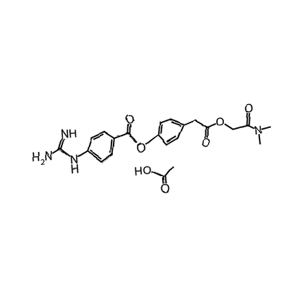 CC(=O)O.CN(C)C(=O)COC(=O)Cc1ccc(OC(=O)c2ccc(NC(=N)N)cc2)cc1